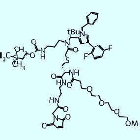 COCCOCCOCCOCCC(=O)N[C@@H](CSCC(=O)N(CCCNC(=O)OCC[Si](C)(C)C)[C@@H](c1cc(-c2cc(F)ccc2F)cn1Cc1ccccc1)C(C)(C)C)C(=O)NCCNC(=O)CN1C(=O)C=CC1=O